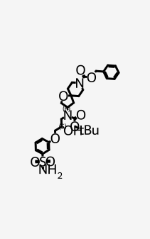 CC(C)(C)OC(=O)N(C[C@H](O)COc1cccc(S(N)(=O)=O)c1)[C@H]1COC2(CCN(C(=O)OCc3ccccc3)CC2)C1